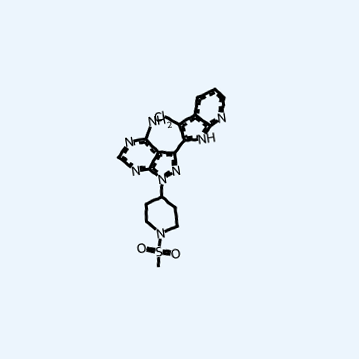 CS(=O)(=O)N1CCC(n2nc(-c3[nH]c4ncccc4c3Cl)c3c(N)ncnc32)CC1